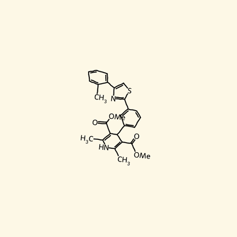 COC(=O)C1=C(C)NC(C)=C(C(=O)OC)C1c1cccc(-c2nc(-c3ccccc3C)cs2)c1